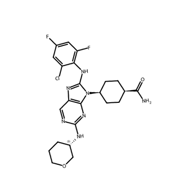 NC(=O)[C@H]1CC[C@@H](n2c(Nc3c(F)cc(F)cc3Cl)nc3cnc(N[C@H]4CCCOC4)nc32)CC1